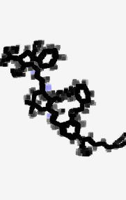 CCCCN(CCCCO)c1ccc(/C=C/C2=C(OC)C(=C/C=C/C3=C(C#N)C(=C(C#N)C#N)CC3(c3ccccc3)C(F)(F)F)/CC(C)(C)C2)c(OCc2ccccc2)c1